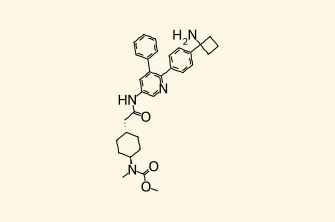 COC(=O)N(C)[C@H]1CC[C@H](CC(=O)Nc2cnc(-c3ccc(C4(N)CCC4)cc3)c(-c3ccccc3)c2)CC1